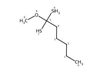 CCCCCC([SiH3])(S)OC